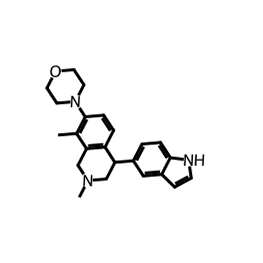 Cc1c(N2CCOCC2)ccc2c1CN(C)CC2c1ccc2[nH]ccc2c1